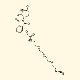 [N-]=[N+]=NCCOCCOCCOCCNC(=O)COc1cccc2c1C(=O)N(C1CCC(=O)NC1=O)C2=O